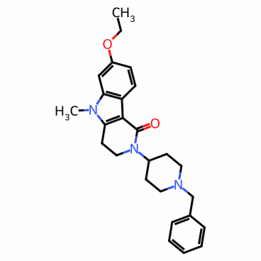 CCOc1ccc2c3c(n(C)c2c1)CCN(C1CCN(Cc2ccccc2)CC1)C3=O